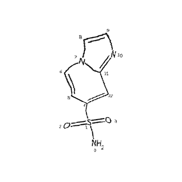 NS(=O)(=O)c1ccn2ccnc2c1